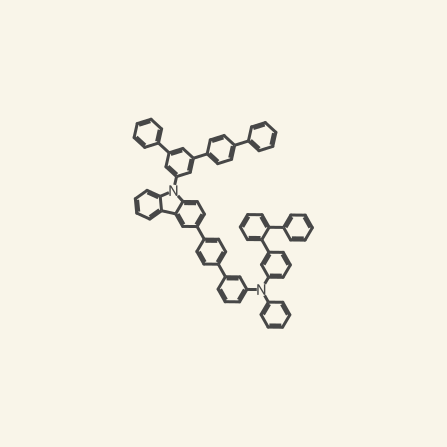 c1ccc(-c2ccc(-c3cc(-c4ccccc4)cc(-n4c5ccccc5c5cc(-c6ccc(-c7cccc(N(c8ccccc8)c8cccc(-c9ccccc9-c9ccccc9)c8)c7)cc6)ccc54)c3)cc2)cc1